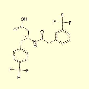 O=C(O)C[C@H](Cc1ccc(C(F)(F)F)cc1)NC(=O)Cc1cccc(C(F)(F)F)c1